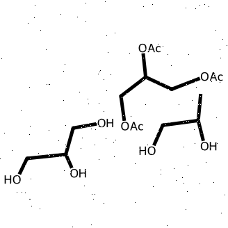 CC(=O)OCC(COC(C)=O)OC(C)=O.CC(O)CO.OCC(O)CO